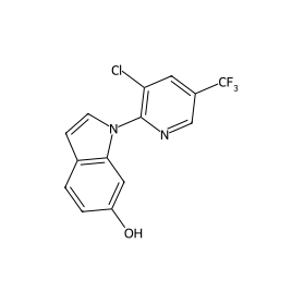 Oc1ccc2ccn(-c3ncc(C(F)(F)F)cc3Cl)c2c1